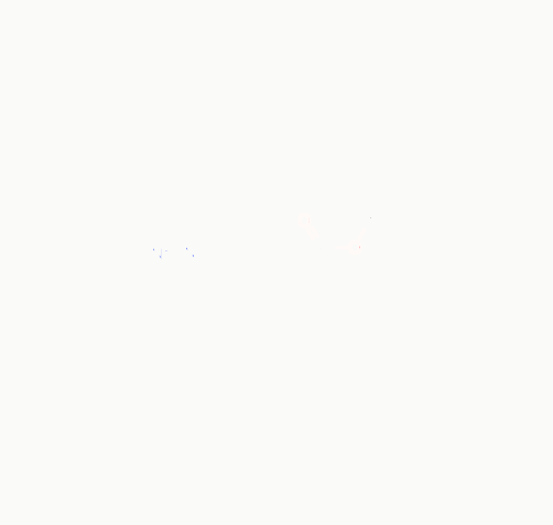 CC(C)(C)OC(=O)C1CCCCC12CCCC(=[N+]=[N-])C2